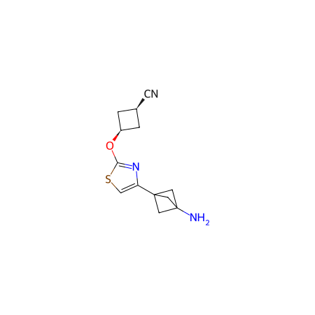 N#C[C@H]1C[C@@H](Oc2nc(C34CC(N)(C3)C4)cs2)C1